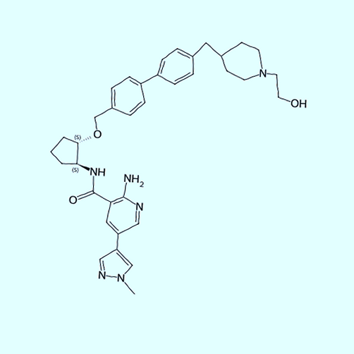 Cn1cc(-c2cnc(N)c(C(=O)N[C@H]3CCC[C@@H]3OCc3ccc(-c4ccc(CC5CCN(CCO)CC5)cc4)cc3)c2)cn1